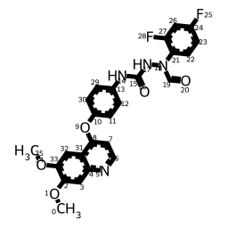 COc1cc2nccc(Oc3ccc(NC(=O)NN(C=O)c4ccc(F)cc4F)cc3)c2cc1OC